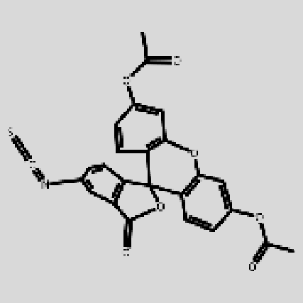 CC(=O)Oc1ccc2c(c1)Oc1cc(OC(C)=O)ccc1C21OC(=O)c2cc(N=C=S)ccc21